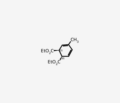 CCOC(=O)[C@H]1C=C(C)C=C[C@H]1C(=O)OCC